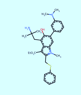 CCOC(=O)c1c(CSc2ccccc2)n(C)c2cc(-c3cccc(N(C)C)c3)c(O)c(CC(C)(C)N)c12